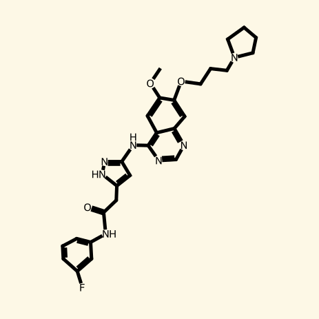 COc1cc2c(Nc3cc(CC(=O)Nc4cccc(F)c4)[nH]n3)ncnc2cc1OCCCN1CCCC1